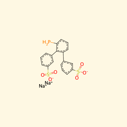 O=S(=O)([O-])c1cccc(-c2cccc(P)c2-c2cccc(S(=O)(=O)[O-])c2)c1.[Na+].[Na+]